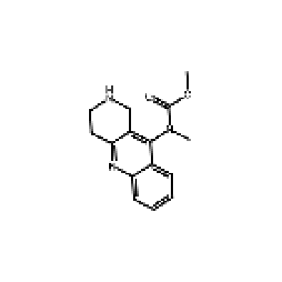 COC(=O)N(C)c1c2c(nc3ccccc13)CCNC2